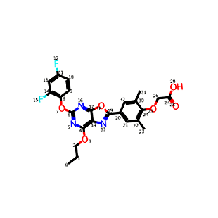 CCCOc1nc(Oc2ccc(F)cc2F)nc2oc(-c3cc(C)c(OCC(=O)O)c(C)c3)nc12